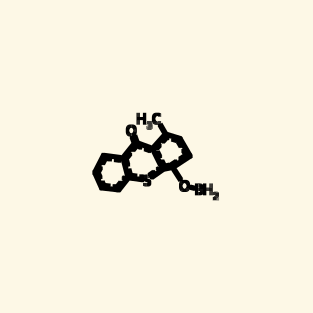 BOc1ccc(C)c2c(=O)c3ccccc3sc12